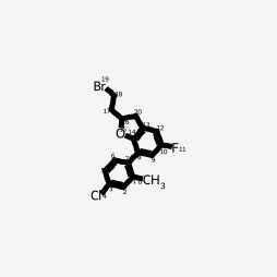 Cc1cc(Cl)ccc1-c1cc(F)cc2c1OC(CCBr)C2